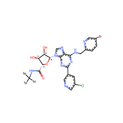 [2H]C([2H])([2H])NC(=O)[C@H]1O[C@@H](n2cnc3c(NCc4ccc(Br)cn4)nc(-c4cncc(Cl)c4)nc32)[C@H](O)[C@@H]1O